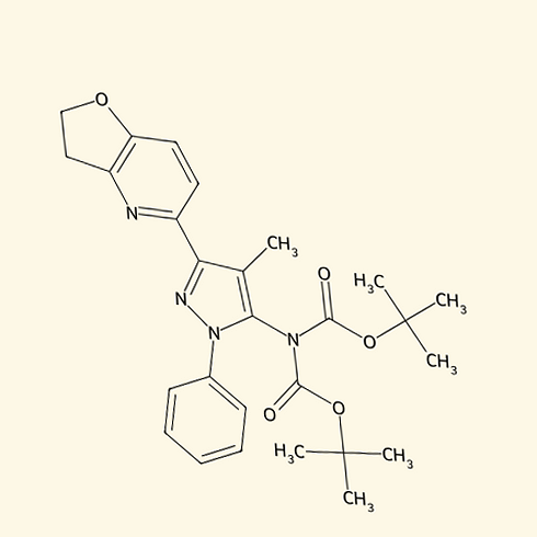 Cc1c(-c2ccc3c(n2)CCO3)nn(-c2ccccc2)c1N(C(=O)OC(C)(C)C)C(=O)OC(C)(C)C